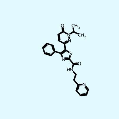 CC(C)n1nc(-c2sc(C(=O)NCCc3ccccn3)nc2-c2ccccc2)ccc1=O